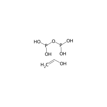 C=CO.OP(O)OP(O)O